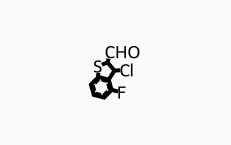 O=CC1Sc2cccc(F)c2C1Cl